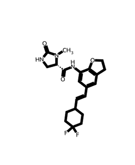 CN1C(=O)NC[C@H]1C(=O)Nc1cc(/C=C/C2CCC(F)(F)CC2)cc2c1OCC2